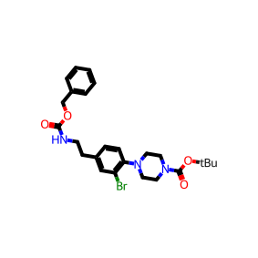 CC(C)(C)OC(=O)N1CCN(c2ccc(CCNC(=O)OCc3ccccc3)cc2Br)CC1